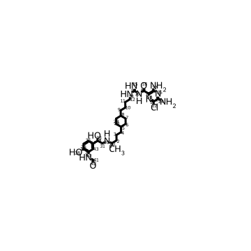 C[C@H](CCCC1CCC(CCCCNC(=N)NC(=O)c2nc(Cl)c(N)nc2N)CC1)NC[C@H](O)c1ccc(O)c(NC=O)c1